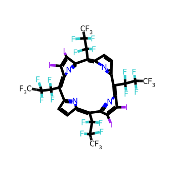 FC(F)(F)C(F)(F)C(F)(F)C1=C2C=CC(=N2)C(C(F)(F)C(F)(F)C(F)(F)F)=C2N=C(C(I)=C2I)C(C(F)(F)C(F)(F)C(F)(F)F)=C2C=CC(=N2)C(C(F)(F)C(F)(F)C(F)(F)F)=C2N=C1C(I)=C2I